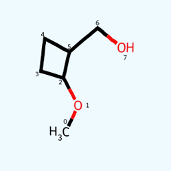 COC1CCC1CO